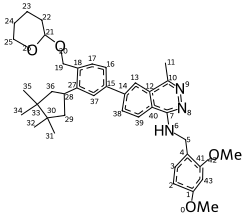 COc1ccc(CNc2nnc(C)c3cc(-c4ccc(COC5CCCCO5)c(C5CC(C)(C)C(C)(C)C5)c4)ccc23)c(OC)c1